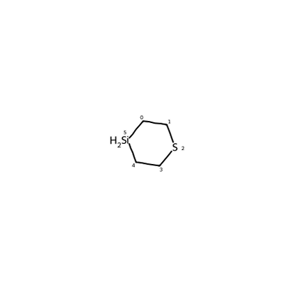 C1CSCC[SiH2]1